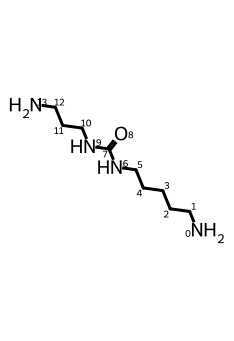 NCCCCCNC(=O)NCCCN